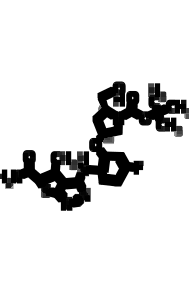 Cc1c(C(N)=O)sc2ncnc(Nc3ccc(F)cc3O[C@H]3C[C@@H](CO)N(C(=O)OC(C)(C)C)C3)c12